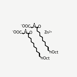 CCCCCCCCC=CCCCCCCCC(=O)N(C)CC(=O)[O-].CCCCCCCCC=CCCCCCCCC(=O)N(C)CC(=O)[O-].[Zn+2]